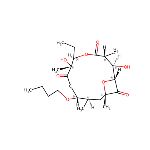 CCCCO[C@@H]1CC(=O)[C@](C)(O)[C@@H](CC)OC(=O)[C@H](C)[C@@H](O)[C@H]2O[C@@](C)(C[C@H]1C)C2=O